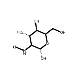 OCC1O[C@H](O)C(NCl)[C@H](O)[C@H]1O